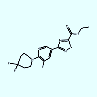 CCOC(=O)c1nc(-c2cnc(N3CCC(F)(F)CC3)c(F)c2)ns1